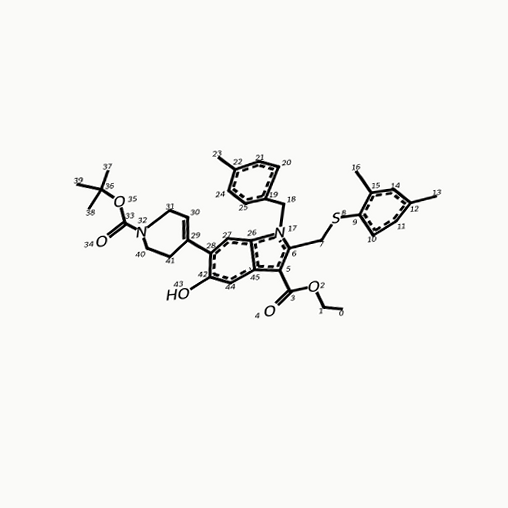 CCOC(=O)c1c(CSc2ccc(C)cc2C)n(Cc2ccc(C)cc2)c2cc(C3=CCN(C(=O)OC(C)(C)C)CC3)c(O)cc12